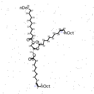 CCCCCCCC/C=C\CCCCCCCC(=O)OC[C@H](COC(=O)CCCCCCCCCCCCCCCCCCC)OC(=O)CCCCCCC/C=C\CCCCCCCC